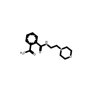 CC(=O)c1ccccc1C(=O)NCCN1CCOCC1